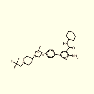 C[C@@H]1CN(C2CCN(CC(F)(F)F)CC2)C[C@H]1c1ccc(-c2cnc(N)c(C(=O)NC3CCCCC3)c2)cc1